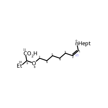 CCCCCCC/C=C\CCCCCOC(CC)C(=O)O